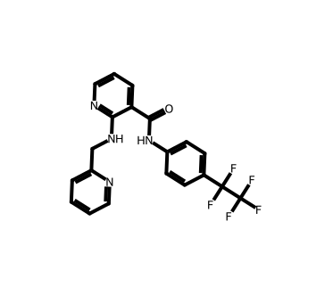 O=C(Nc1ccc(C(F)(F)C(F)(F)F)cc1)c1cccnc1NCc1ccccn1